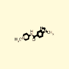 CN1CCC(NC(=O)c2ccc3c(c2)ncn3C)CC1